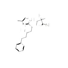 CC(F)(CC[C@H](C[C@@H](O)[CH]Cc1ccccc1)c1nc(Cl)c[nH]1)C(N)=O